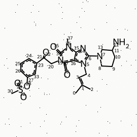 CC(C)=CCn1c(N2CCCC(N)C2)nc2c1c(=O)n(CC(=O)c1cccc(OS(C)(=O)=O)c1)c(=O)n2C